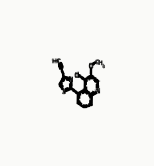 C#Cc1csc(-c2cccc3n[c]c(OC)c(Cl)c23)n1